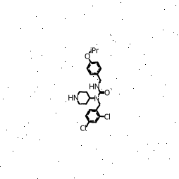 CC(C)Oc1ccc(CNC(=O)N(Cc2ccc(Cl)cc2Cl)C2CCNCC2)cc1